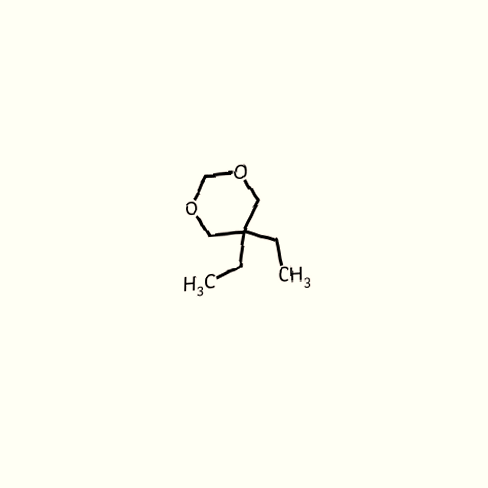 CCC1(CC)COCOC1